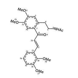 COc1cc(CCNC(C)=O)c(C(=O)/C=C/c2cccc(OC)c2OC)cc1OC